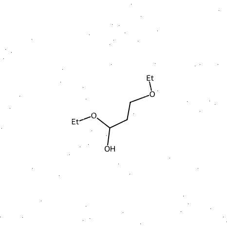 CCOCCC(O)OCC